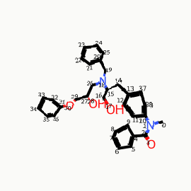 CN(C(=O)c1ccccc1)c1ccc(C[C@@H](CO)N(Cc2ccccc2)C[C@H](O)COc2ccccc2)cc1